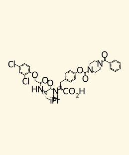 CC(C)C[C@H](NC(=O)COc1ccc(Cl)cc1Cl)C(=O)N[C@@H](Cc1ccc(OC(=O)N2CCN(C(=O)c3ccccc3)CC2)cc1)C(=O)O